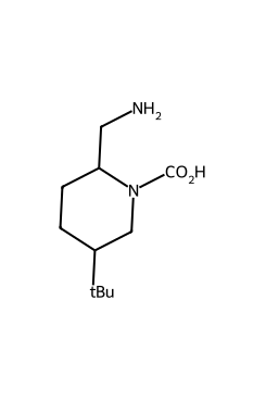 CC(C)(C)C1CCC(CN)N(C(=O)O)C1